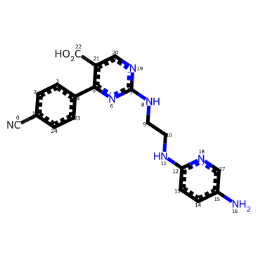 N#Cc1ccc(-c2nc(NCCNc3ccc(N)cn3)ncc2C(=O)O)cc1